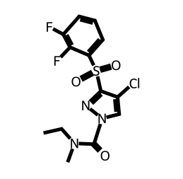 CCN(C)C(=O)n1cc(Cl)c(S(=O)(=O)c2cccc(F)c2F)n1